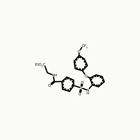 CCOC(=O)CNC(=O)c1ccc(S(=O)(=O)Nc2ccccc2Oc2ccc(OC(F)(F)F)cc2)cc1